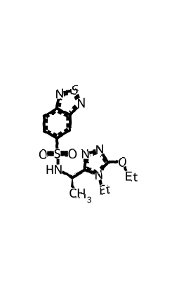 CCOc1nnc([C@@H](C)NS(=O)(=O)c2ccc3nsnc3c2)n1CC